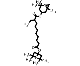 CCC(CCCCCCCC(=O)OC12CC(C)(C)N1C(C)(C)C2)C(=O)OC1CC(C)(C)N2CC2(C)C1